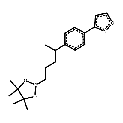 CC(CCCB1OC(C)(C)C(C)(C)O1)c1ccc(-c2ccon2)cc1